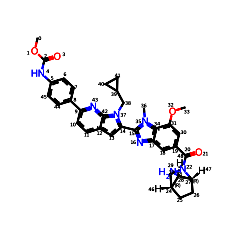 COC(=O)Nc1ccc(-c2ccc3cc(-c4nc5cc(C(=O)N6C[C@H]7CC[C@@H]6[C@@H]7N)cc(OC)c5n4C)n(CC4CC4)c3n2)cc1